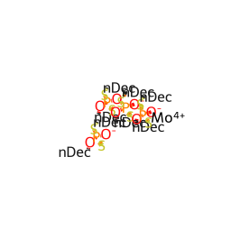 CCCCCCCCCCOP([O-])(=S)SCCCCCCCCCC.CCCCCCCCCCOP([O-])(=S)SCCCCCCCCCC.CCCCCCCCCCOP([O-])(=S)SCCCCCCCCCC.CCCCCCCCCCOP([O-])(=S)SCCCCCCCCCC.[Mo+4]